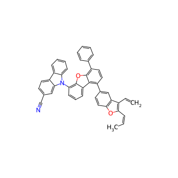 C=Cc1c(/C=C\C)oc2ccc(-c3ccc(-c4ccccc4)c4oc5c(-n6c7ccccc7c7ccc(C#N)cc76)cccc5c34)cc12